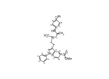 C=C(CN(C)CCc1cn(-c2ccccc2)c2ccc(C(=O)OC)cc12)Nc1ccc(C(C)C)cc1